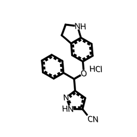 Cl.N#Cc1cc(C(Oc2ccc3c(c2)CCN3)c2ccccc2)n[nH]1